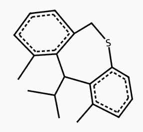 Cc1cccc2c1C(C(C)C)c1c(C)cccc1SC2